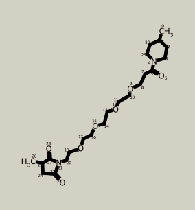 CC1CCN(C(=O)CCOCCOCCOCCOCCN2C(=O)CC(C)C2=O)CC1